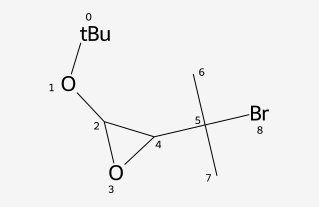 CC(C)(C)OC1OC1C(C)(C)Br